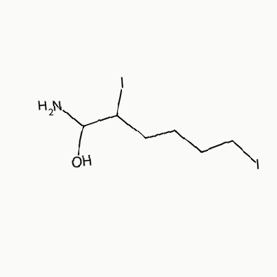 NC(O)C(I)CCCCI